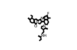 C=C(CC)NCCC1CCN(C2CCc3c(C)c(F)cc4nc5c(c2c34)Cn2c-5cc3c(c2=O)CCC(=C)C3CC)C1=C